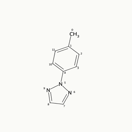 Cc1c[c]c(-n2nccn2)cc1